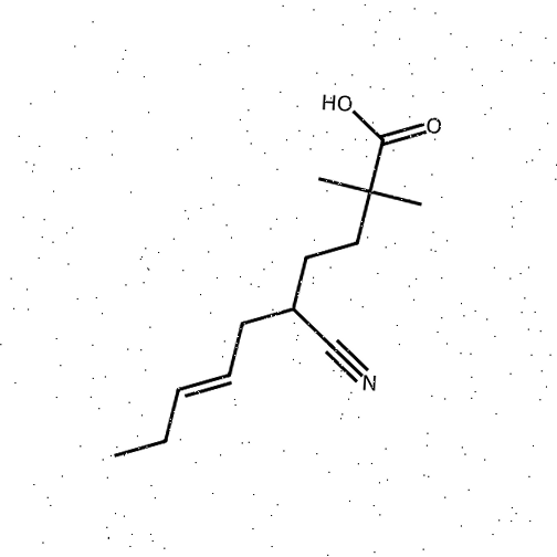 CC/C=C/CC(C#N)CCC(C)(C)C(=O)O